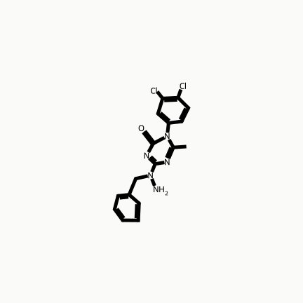 Cc1nc(N(N)Cc2ccccc2)nc(=O)n1-c1ccc(Cl)c(Cl)c1